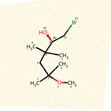 COC(C)(C)CC(C)(C)[C@@H](O)CBr